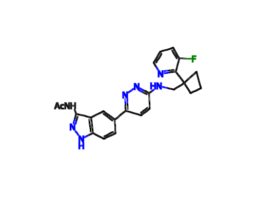 CC(=O)Nc1n[nH]c2ccc(-c3ccc(NCC4(c5ncccc5F)CCC4)nn3)cc12